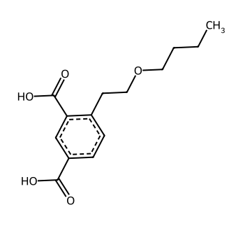 CCCCOCCc1ccc(C(=O)O)cc1C(=O)O